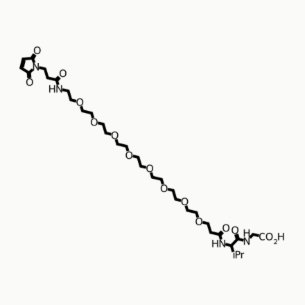 CC(C)C(NC(=O)CCOCCOCCOCCOCCOCCOCCOCCOCCNC(=O)CCN1C(=O)C=CC1=O)C(=O)NCC(=O)O